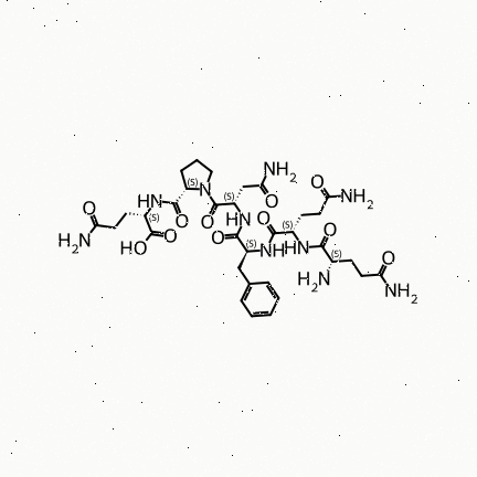 NC(=O)CC[C@H](NC(=O)[C@@H]1CCCN1C(=O)[C@H](CC(N)=O)NC(=O)[C@H](Cc1ccccc1)NC(=O)[C@H](CCC(N)=O)NC(=O)[C@@H](N)CCC(N)=O)C(=O)O